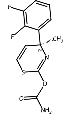 C[C@@]1(c2cccc(F)c2F)C=CSC(OC(N)=O)=N1